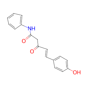 O=C(C=Cc1ccc(O)cc1)CC(=O)Nc1ccccc1